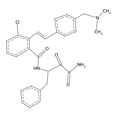 CN(C)Cc1ccc(C=Cc2c(Cl)cccc2C(=O)NC(Cc2ccccc2)C(=O)C(N)=O)cc1